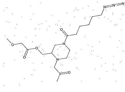 COCC(=O)OCC1CN(C(=O)CCCCCN=[N+]=[N-])CCN1CC(C)=O